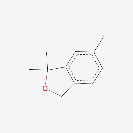 Cc1ccc2c(c1)C(C)(C)OC2